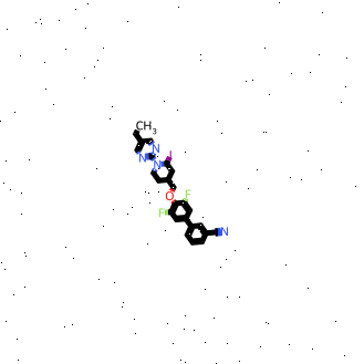 CCc1cnc(N2CCC(COc3c(F)cc(-c4cccc(C#N)c4)cc3F)CC2I)nc1